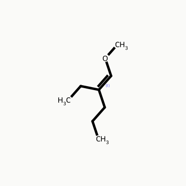 CCC/C(=C/OC)CC